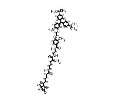 Cc1cc(C(=O)NCCNC(=O)C(N)CCCCNC(=O)CCCCC2SCC3NC(=O)NC32)ccc1OCCOc1cc(-c2c3ccc(=[N+](C)C)cc-3oc3cc(N(C)C)ccc23)ccc1C